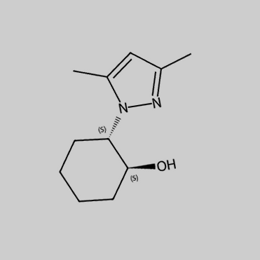 Cc1cc(C)n([C@H]2CCCC[C@@H]2O)n1